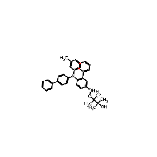 Cc1cccc(N(c2ccc(-c3ccccc3)cc2)c2ccc(BOC(C)(C)C(C)(C)O)cc2-c2ccccc2)c1